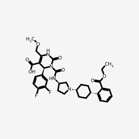 CCOC(=O)c1ccccc1[C@H]1CC[C@@H](N2CC[C@@H](NC(=O)N3C(=O)NC(COC)=C(C(=O)O)[C@@H]3c3ccc(F)c(F)c3)C2)CC1